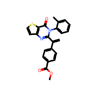 C=C(c1ccc(C(=O)OC)cc1)c1nc2ccsc2c(=O)n1-c1ccccc1C